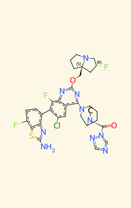 Nc1nc2c(-c3c(Cl)cc4c(N5CC6CCC5CN6C(=O)n5cncn5)nc(OC[C@@]56CCCN5C[C@H](F)C6)nc4c3F)ccc(F)c2s1